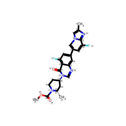 Cc1cn2cc(-c3cc(F)c4c(=O)n([C@@H]5CCN(C(=O)OC(C)(C)C)[C@@H](C)C5)cnc4c3)cc(F)c2n1